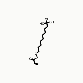 C=CC(=O)OOCCCCCCCCCC(O)(O)O